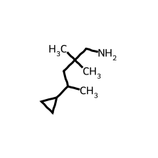 CC(CC(C)(C)CN)C1CC1